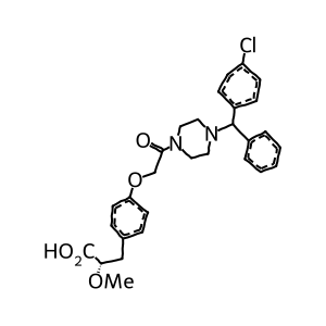 CO[C@@H](Cc1ccc(OCC(=O)N2CCN(C(c3ccccc3)c3ccc(Cl)cc3)CC2)cc1)C(=O)O